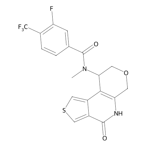 CN(C(=O)c1ccc(C(F)(F)F)c(F)c1)C1COCc2[nH]c(=O)c3cscc3c21